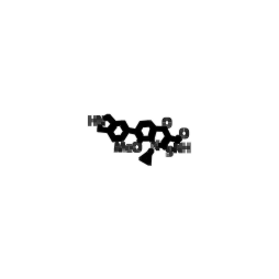 COc1c(-c2ccc3c(c2)CNC3)ccc2c(=O)c3c(=O)[nH]sc3n(C3CC3)c12